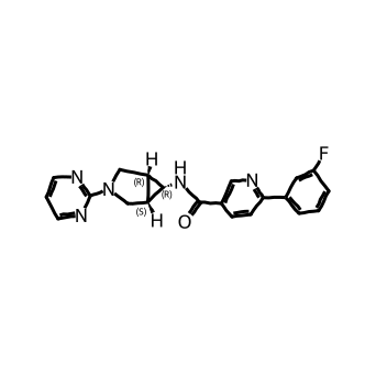 O=C(N[C@@H]1[C@@H]2CN(c3ncccn3)C[C@@H]21)c1ccc(-c2cccc(F)c2)nc1